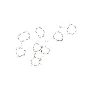 CC1(C)c2ccccc2-c2ccc(N(c3ccccc3)c3cccc(-c4cccc(-c5ccccc5)c4)c3-c3ccc4c(c3)sc3ccccc34)cc21